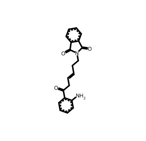 Nc1ccccc1C(=O)CC=CCCN1C(=O)c2ccccc2C1=O